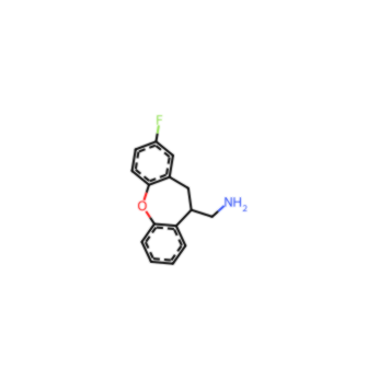 NCC1Cc2cc(F)ccc2Oc2ccccc21